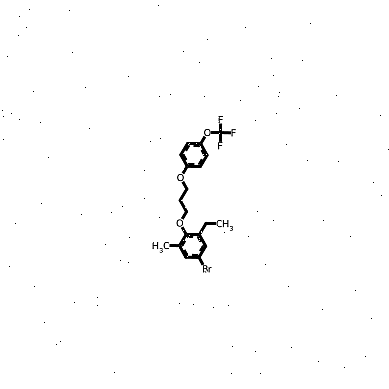 CCc1cc(Br)cc(C)c1OCCCOc1ccc(OC(F)(F)F)cc1